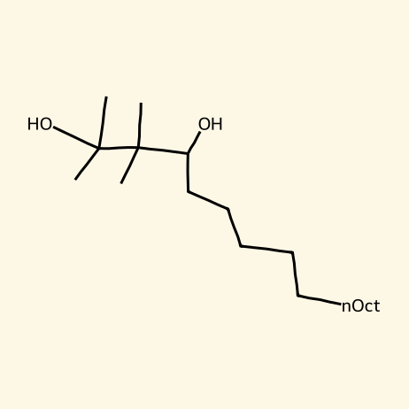 CCCCCCCCCCCCCC(O)C(C)(C)C(C)(C)O